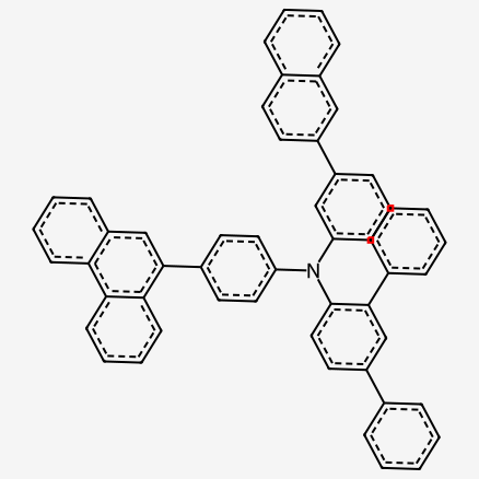 c1ccc(-c2ccc(N(c3ccc(-c4cc5ccccc5c5ccccc45)cc3)c3cccc(-c4ccc5ccccc5c4)c3)c(-c3ccccc3)c2)cc1